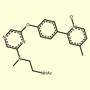 CC(=O)NCCN(C)c1cncc(Oc2ccc(-c3cc(C)cc[n+]3[O-])cc2)n1